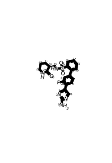 Nc1ncc(-c2ccc(-c3ccccc3S(=O)(=O)NC[C@@H]3CCCNC3=O)cc2F)cn1